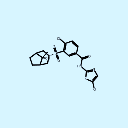 C[C@]1(O)C2CCC1C[C@@H](S(=O)(=O)c1cc(C(=O)Nc3ncc(Cl)s3)ccc1Cl)C2